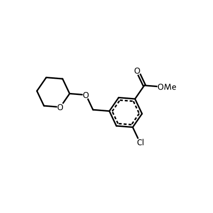 COC(=O)c1cc(Cl)cc(COC2CCCCO2)c1